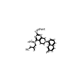 CCCCCOc1nc2c(c(N(CCC)CC(C)CC#N)n1)CCN(c1cccc3ccc(F)cc13)C2